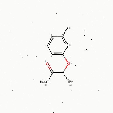 COC(=O)[C@H](Oc1cccc(C)c1)C(C)C